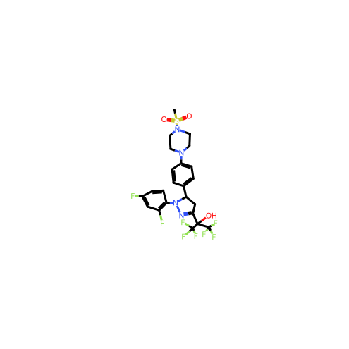 CS(=O)(=O)N1CCN(c2ccc(C3CC(C(O)(C(F)(F)F)C(F)(F)F)=NN3c3ccc(F)cc3F)cc2)CC1